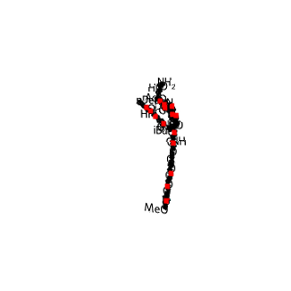 CCCCCCCCCCCCCCCC(=O)NCCCCCC(=O)N[C@H](C(=O)N[C@@H](CCCCNC(=O)CCOCCOCCOCCOCCOCCOCCOCCOC)C(=O)N1CCN(c2ccc3ncn(CC(=O)N[C@@H](CCCNC(N)=O)C(C)=O)c(=O)c3c2)CC1)[C@@H](C)CC